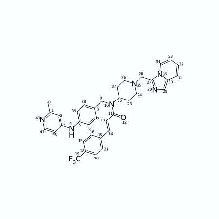 Cc1cc(Nc2ccc(CN(C(=O)C=Cc3ccc(C(F)(F)F)cc3)C3CCN(Cc4ncc5ccccn45)CC3)cc2)ccn1